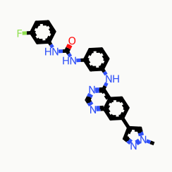 Cn1cc(-c2ccc3c(Nc4cccc(NC(=O)Nc5cccc(F)c5)c4)ncnc3c2)cn1